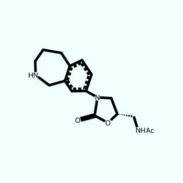 CC(=O)NC[C@H]1CN(c2ccc3c(c2)CNCCC3)C(=O)O1